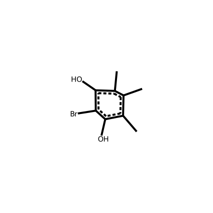 Cc1c(C)c(O)c(Br)c(O)c1C